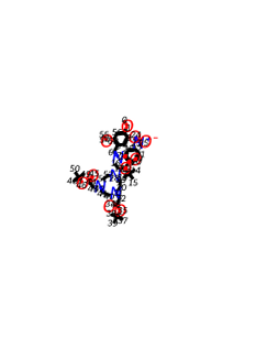 COc1ccc(CN(CC(=O)OC(C)(C)C)CC(Cc2ccc([N+](=O)[O-])cc2)N2CCN(CC(=O)OC(C)(C)C)CCN(CC(=O)OC(C)(C)C)CC2)c(OC)c1